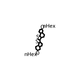 CCCCCCOc1ccc2c(ccc3c2sc2sc4c5ccc(OCCCCCC)cc5ccc4c23)c1